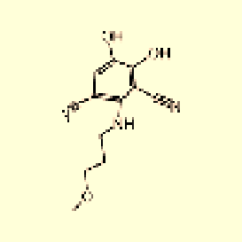 COCCCNc1c(C#N)cc(O)c(O)c1C#N